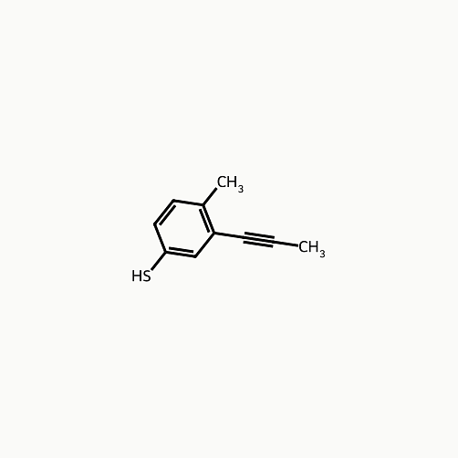 CC#Cc1cc(S)ccc1C